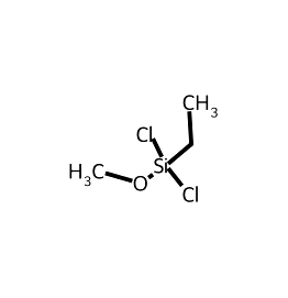 CC[Si](Cl)(Cl)OC